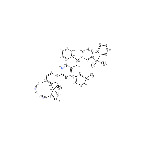 C=C1/C=C\C=C/Cc2ccc(-c3cc(-c4cccc(C#N)c4)c4cc(-c5ccc6c(c5)C(C)(C)c5ccccc5-6)c5ccccc5c4n3)cc2C1(C)C